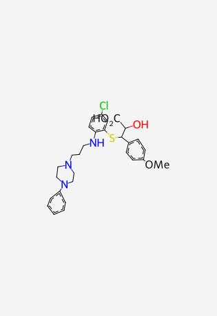 COc1ccc(C(Sc2cc(Cl)ccc2NCCCN2CCN(c3ccccc3)CC2)C(O)C(=O)O)cc1